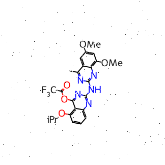 COc1cc(OC)c2nc(Nc3nc(OC(=O)C(F)(F)F)c4c(OC(C)C)cccc4n3)nc(C)c2c1